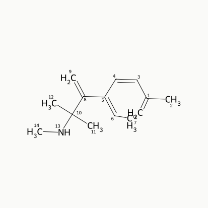 C=C(C)/C=C\C(=C/C)C(=C)C(C)(C)NC